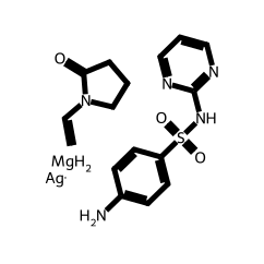 C=CN1CCCC1=O.Nc1ccc(S(=O)(=O)Nc2ncccn2)cc1.[Ag].[MgH2]